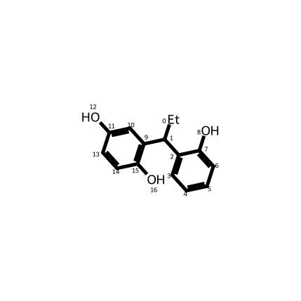 CCC(c1ccccc1O)c1cc(O)ccc1O